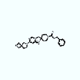 O=C(CCc1ccccc1)N1CCC(O)(Cn2cnc(N3CCC4(COC4)C3)cc2=O)CC1